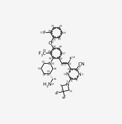 N#Cc1ncc(N2CC(F)(F)C2)nc1/C(F)=C/c1ccc(Oc2ccccc2F)c(C(F)(F)F)c1N1CCC[C@@H](CN)C1